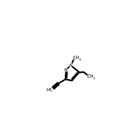 C#Cc1cc(CC)n(C)n1